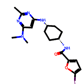 Cc1nc(N[C@H]2CC[C@@H](NC(=O)c3ccc(I)o3)CC2)cc(N(C)C)n1